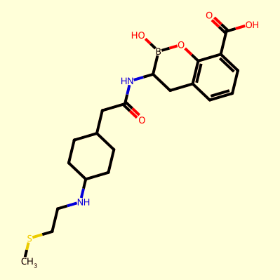 CSCCNC1CCC(CC(=O)NC2Cc3cccc(C(=O)O)c3OB2O)CC1